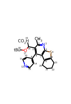 Cc1nc2sc3c(c2c(-c2ccncc2)c1C(OC(C)(C)C)C(=O)O)CCCC3